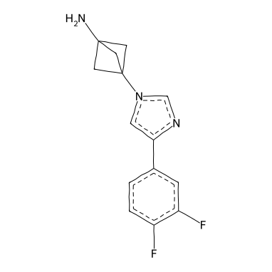 NC12CC(n3cnc(-c4ccc(F)c(F)c4)c3)(C1)C2